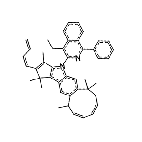 C=C/C=C\C1=C(C)c2c(c3cc4c(cc3n2-c2nc(-c3ccccc3)c3ccccc3c2CC)C(C)(C)C/C=C\C=C/C4C)C1(C)C